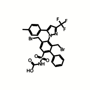 Cc1ccc(-c2cc(C(F)(F)F)nn2-c2c(CBr)cc(S(=O)(=O)NC(=O)O)c(-c3ccccc3)c2CBr)cc1